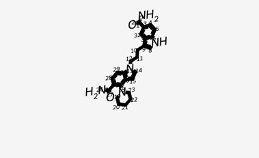 NC(=O)c1ccc2[nH]cc(CCCn3ccc4c(N5CCCCC5)c(C(N)=O)ccc43)c2c1